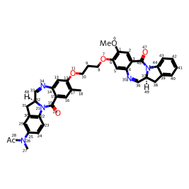 COc1cc2c(cc1OCCCOc1cc3c(cc1C)C(=O)N1c4ccc(N(C)C(C)=O)cc4C[C@H]1C=N3)N=C[C@@H]1Cc3ccccc3N1C2=O